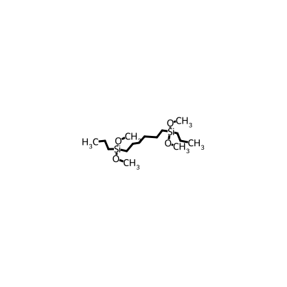 CCC[Si](CCCCCC[Si](CCC)(OC)OC)(OC)OC